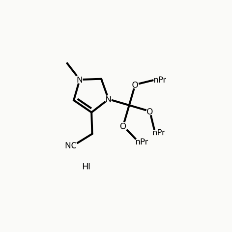 CCCOC(OCCC)(OCCC)N1CN(C)C=C1CC#N.I